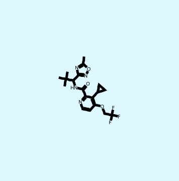 Cc1nc(C(NC(=O)c2nccc(OCC(F)(F)F)c2C2CC2)C(C)(C)C)no1